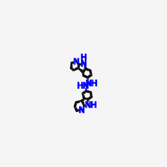 c1cnc2[nH]c3ccc(NNc4ccc5[nH]c6ncccc6c5c4)cc3c2c1